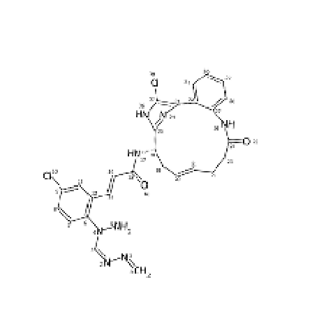 C=N/N=C\N(N)c1ccc(Cl)cc1/C=C/C(=O)N[C@H]1C/C=C/CCC(=O)Nc2ccccc2-c2nc1[nH]c2Cl